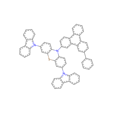 c1ccc(-c2ccc3c4ccccc4c4ccc(N5c6ccc(-n7c8ccccc8c8ccccc87)cc6Sc6cc(-n7c8ccccc8c8ccccc87)ccc65)cc4c3c2)cc1